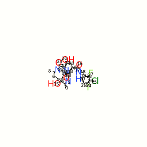 CC1=NO[C@@]2(CC[C@H](C)N3C[C@H]2N2C=C(C(=O)NCc4ccc(F)c(Cl)c4F)CC(O)=C2C3=O)[C@H]1O